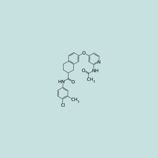 CC(=O)Nc1cc(Oc2ccc3c(c2)CC(C(=O)Nc2ccc(Cl)c(C)c2)CC3)ccn1